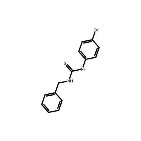 S=C(NCc1ccccc1)Nc1ccc(Br)cc1